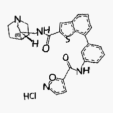 Cl.O=C(Nc1cccc(-c2cccc3cc(C(=O)N[C@H]4CN5CCC4CC5)sc23)c1)c1ccno1